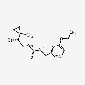 CCC(CNC(=O)NCc1ccnc(OCC(F)(F)F)c1)C1(C(F)(F)F)CC1